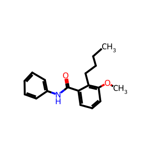 CCCCc1c(OC)cccc1C(=O)Nc1ccccc1